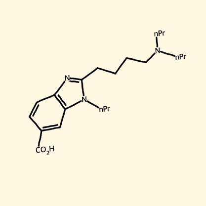 CCCN(CCC)CCCCc1nc2ccc(C(=O)O)cc2n1CCC